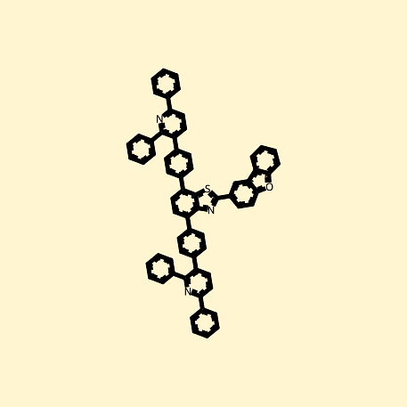 c1ccc(-c2ccc(-c3ccc(-c4ccc(-c5ccc(-c6ccc(-c7ccccc7)nc6-c6ccccc6)cc5)c5sc(-c6ccc7oc8ccccc8c7c6)nc45)cc3)c(-c3ccccc3)n2)cc1